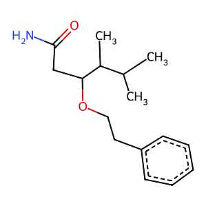 CC(C)C(C)C(CC(N)=O)OCCc1ccccc1